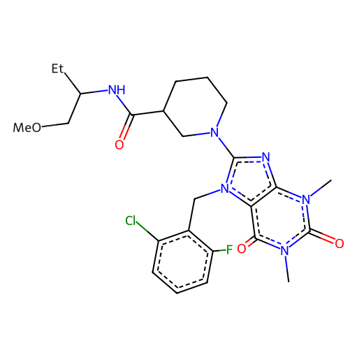 CCC(COC)NC(=O)C1CCCN(c2nc3c(c(=O)n(C)c(=O)n3C)n2Cc2c(F)cccc2Cl)C1